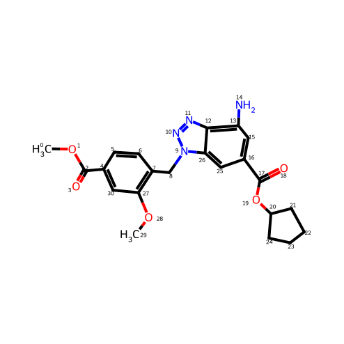 COC(=O)c1ccc(Cn2nnc3c(N)cc(C(=O)OC4CCCC4)cc32)c(OC)c1